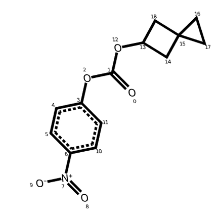 O=C(Oc1ccc([N+](=O)[O-])cc1)OC1CC2(CC2)C1